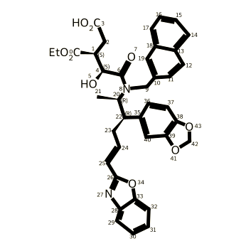 CCOC(=O)[C@@H](CC(=O)O)[C@H](O)C(=O)N(Cc1ccc2ccccc2c1)[C@H](C)[C@H](CC=Cc1nc2ccccc2o1)c1ccc2c(c1)OCO2